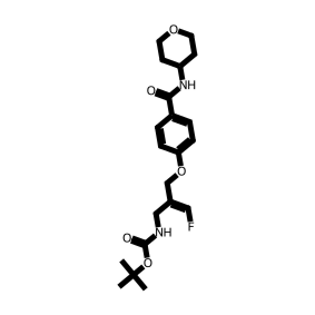 CC(C)(C)OC(=O)NCC(=CF)COc1ccc(C(=O)NC2CCOCC2)cc1